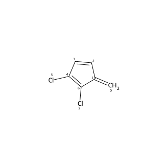 C=C1C=CC(Cl)=C1Cl